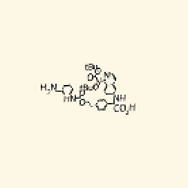 CC(C)(C)OC(=O)N(OC(C)(C)C)c1nccc2cc(NC(C(=O)O)c3ccc(CCOC(=O)Nc4cccc(CN)c4)cc3)ccc12